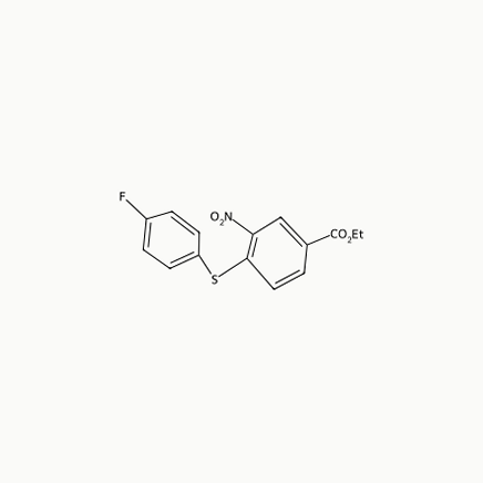 CCOC(=O)c1ccc(Sc2ccc(F)cc2)c([N+](=O)[O-])c1